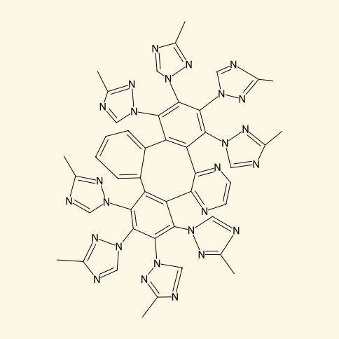 Cc1ncn(-c2c3c(c(-n4cnc(C)n4)c(-n4cnc(C)n4)c2-n2cnc(C)n2)-c2nccnc2-c2c(c(-n4cnc(C)n4)c(-n4cnc(C)n4)c(-n4cnc(C)n4)c2-n2cnc(C)n2)-c2ccccc2-3)n1